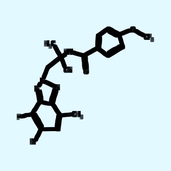 Cc1cc(Br)c(F)c2nn(CC(C)(C#N)NC(=O)c3ccc(OC(F)(F)F)cc3)nc12